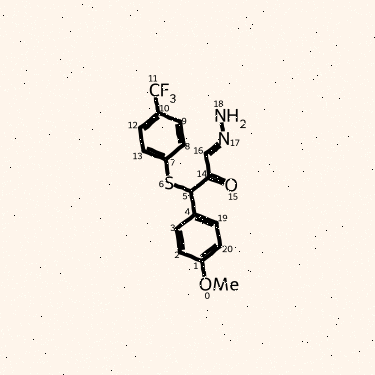 COc1ccc(C(Sc2ccc(C(F)(F)F)cc2)C(=O)C=NN)cc1